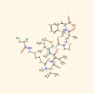 CC[C@@H](C)[C@@H]([C@@H](CC(=O)N1CCC[C@H]1[C@H](OC)[C@@H](C)C(=O)N[C@@H](Cc1ccccc1)C(=O)O)OC)N(C)C(=O)[C@H](NC(=O)[C@H](C(C)C)N(C)C(=O)CCCCCNC(=O)C(Br)CBr)C(C)C